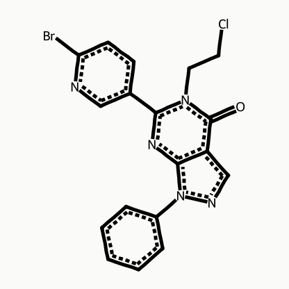 O=c1c2cnn(-c3ccccc3)c2nc(-c2ccc(Br)nc2)n1CCCl